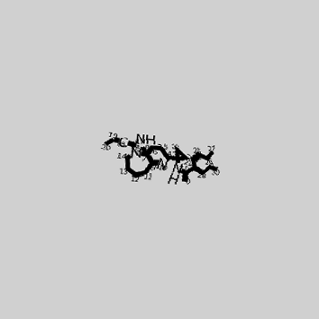 C=C(NC1(C2=CCC3(C)C(=N2)CCCCN3C(N)=C=CC)CC1)C(/C=C\CC)=C/CC